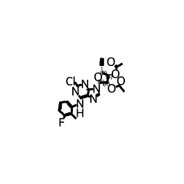 C#C[C@H]1O[C@@H](n2cnc3c(Nc4cccc(F)c4C)nc(Cl)nc32)[C@H](OC(C)=O)[C@H]1OC(C)=O